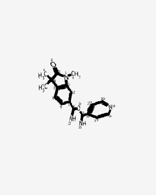 CN1C(=O)C(C)(C)c2ccc(C(=N)OC(=N)c3ccncc3)cc21